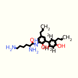 [2H]c1c([2H])c(-c2cc(CC=C)cc(NC(=O)[C@@H](N)CCCCN)c2O)c([2H])c(CC=C)c1O